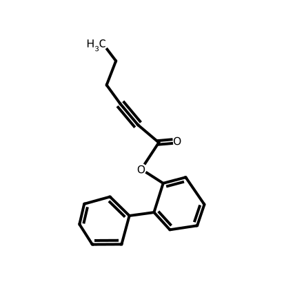 CCCC#CC(=O)Oc1ccccc1-c1ccccc1